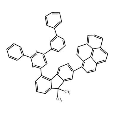 CC1(C)c2cc(-c3ccc4ccc5cccc6ccc3c4c56)ccc2-c2c(-c3cc(-c4cccc(-c5ccccc5)c4)nc(-c4ccccc4)n3)cccc21